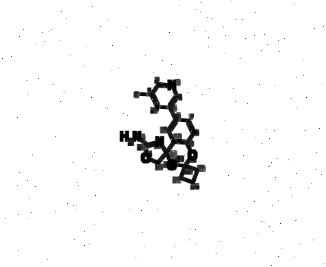 Cc1cncc(-c2ccc3c(c2)C2(COC(N)=N2)C2(COC2)C2(CCC2)O3)c1